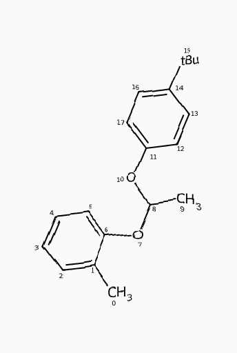 Cc1ccccc1OC(C)Oc1ccc(C(C)(C)C)cc1